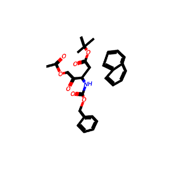 CC(=O)OCC(=O)C(CC(=O)OC(C)(C)C)NC(=O)OCc1ccccc1.c1ccc2ccccc2c1